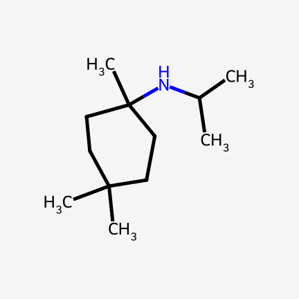 CC(C)NC1(C)CCC(C)(C)CC1